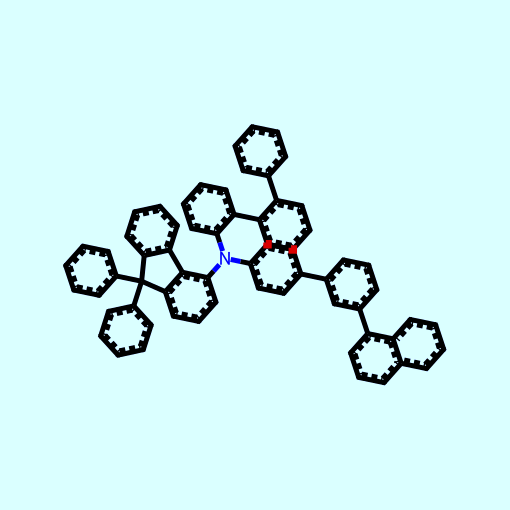 c1ccc(-c2ccccc2-c2ccccc2N(c2ccc(-c3cccc(-c4cccc5ccccc45)c3)cc2)c2cccc3c2-c2ccccc2C3(c2ccccc2)c2ccccc2)cc1